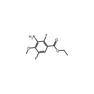 CCOC(=O)c1cc(F)c(OC)c(N)c1F